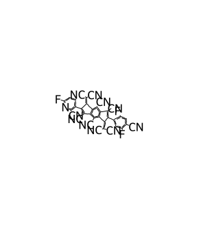 N#CC(C#N)=C1C(c2cc(F)c(C#N)cc2F)=C(C#N)c2c(C#N)c3c(c(C#N)c21)C(C#N)=C(c1ccc(F)nc1C#N)C3=C(C#N)C#N